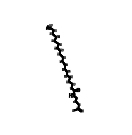 C=C(C)CCCNC(=O)CCCCCCCCCCCCCCCCCCC(C)=O